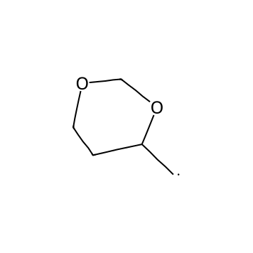 [CH2]C1CCOCO1